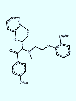 COc1ccc(C(=O)C(C2CCc3ccccc3N2)N(C)CCOc2ccccc2OC)cc1